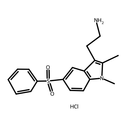 Cc1c(CCN)c2cc(S(=O)(=O)c3ccccc3)ccc2n1C.Cl